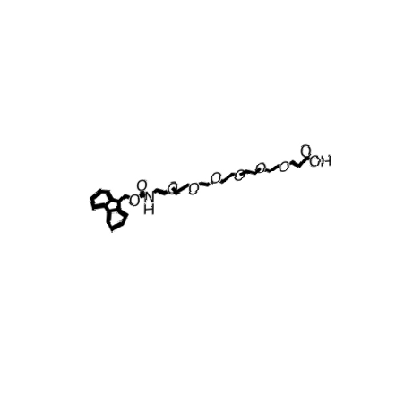 O=C(O)CCOCCOCCOCCOCCOCCOCCNC(=O)OCC1c2ccccc2-c2ccccc21